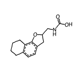 O=C(O)NCC1Cc2ccc3c(c2O1)CCCC3